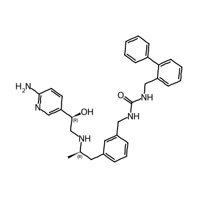 C[C@H](Cc1cccc(CNC(=O)NCc2ccccc2-c2ccccc2)c1)NC[C@H](O)c1ccc(N)nc1